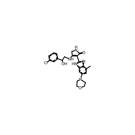 Cc1cc(N2CCOCC2)cc2[nH]c(C3=C(NCC(O)c4cccc(Cl)c4)CNC3=O)nc12